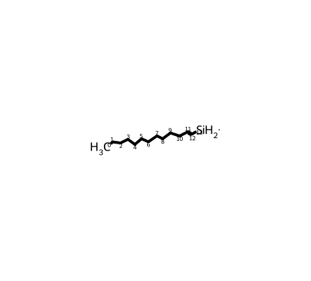 CCCCCCCCCCCC=C[SiH2]